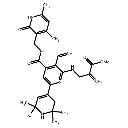 C=C(CNc1nc(C2=CC(C)(C)NC(C)(C)C2)cc(C(=O)NCc2c(C)cc(C)[nH]c2=O)c1C=N)C(=O)OC